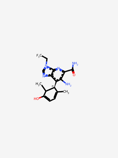 CC1=CC=C(O)C(C)[C@H]1c1c(N)c(C(N)=O)nc2c1ncn2CC(F)(F)F